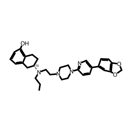 CCCN(CCN1CCN(c2ccc(-c3ccc4c(c3)OCO4)cn2)CC1)[C@H]1CCc2c(O)cccc2C1